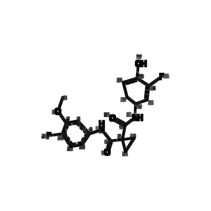 COc1cc(NC(=O)C2(C(=O)NC3C=C(F)C(O)=CC3)CC2)ccc1F